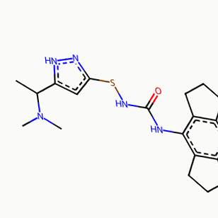 CC(c1cc(SNC(=O)Nc2c3c(cc4c2CCC4)CCC3)n[nH]1)N(C)C